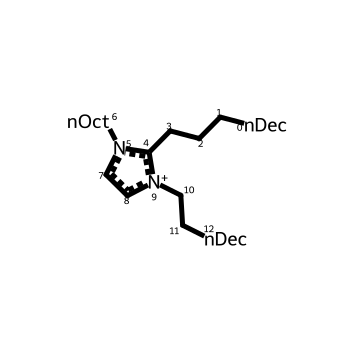 CCCCCCCCCCCCCc1n(CCCCCCCC)cc[n+]1CCCCCCCCCCCC